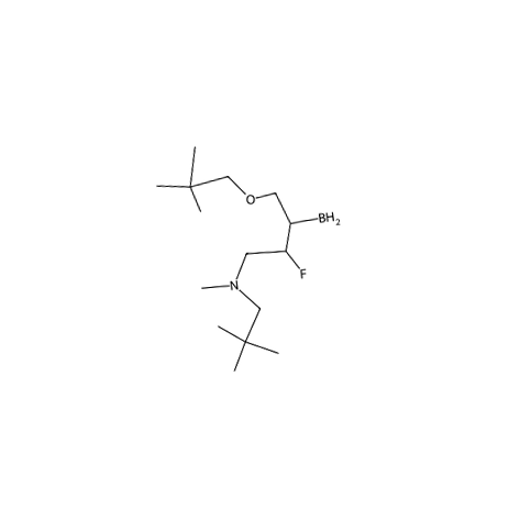 BC(COCC(C)(C)C)C(F)CN(C)CC(C)(C)C